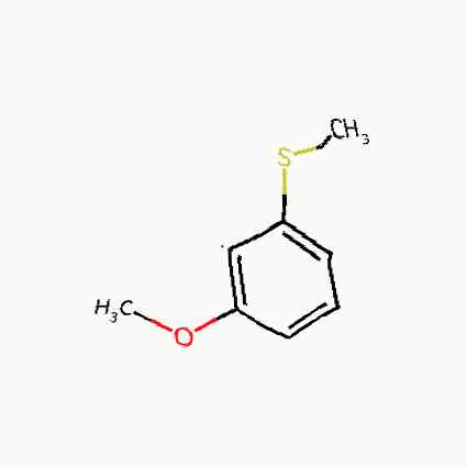 COc1[c]c(SC)ccc1